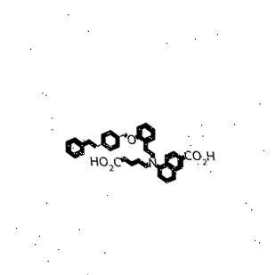 O=C(O)CCCCN(CCc1ccccc1OC[C@H]1CC[C@@H](CCc2ccccc2)CC1)C1CCCc2cc(C(=O)O)ccc21